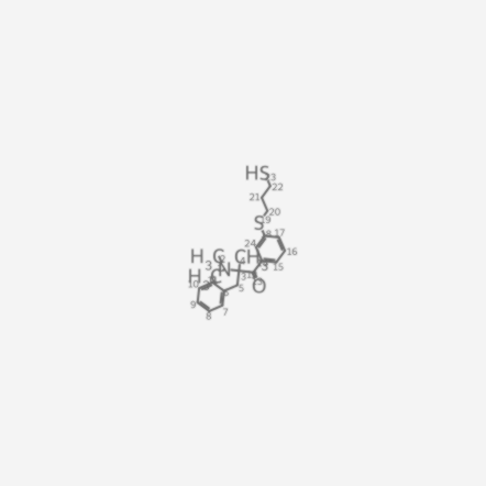 CN(C)C(C)(Cc1ccccc1)C(=O)c1cccc(SCCCS)c1